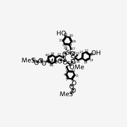 CO[Si]1(Cc2ccc(OOOSC)cc2)O[Si](C)(Cc2ccc(O)cc2)O[Si](C)(Cc2ccc(O)cc2)O[Si](Cc2ccc(OOOSC)cc2)(OC)O1